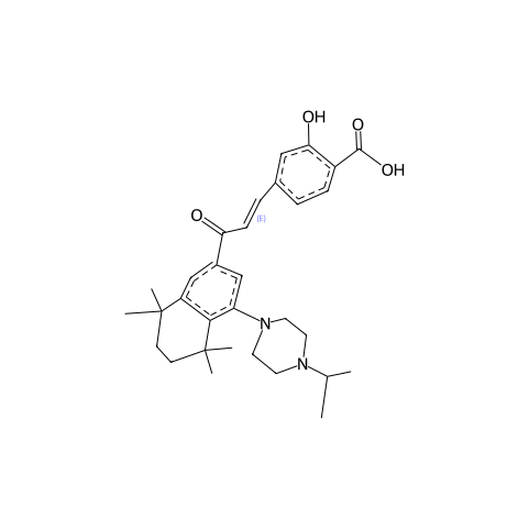 CC(C)N1CCN(c2cc(C(=O)/C=C/c3ccc(C(=O)O)c(O)c3)cc3c2C(C)(C)CCC3(C)C)CC1